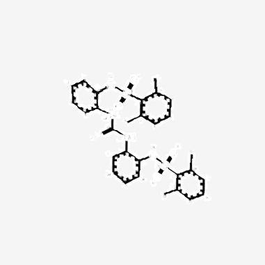 Cc1cccc(C)c1S(=O)(=O)Oc1ccccc1NC(=O)Nc1ccccc1OS(=O)(=O)c1c(C)cccc1C